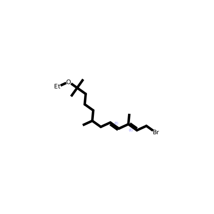 CCOC(C)(C)CCCC(C)C/C=C/C(C)=C/CBr